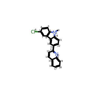 Cn1c2ccc(Cl)cc2c2cc(-c3ccc4c[c]ccc4n3)ccc21